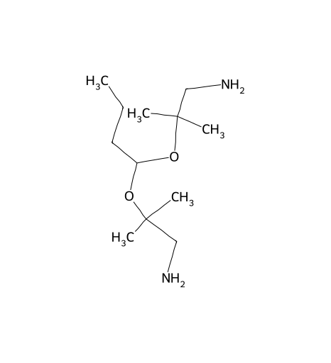 CCCC(OC(C)(C)CN)OC(C)(C)CN